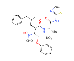 CC(Cc1ccccc1)C[C@@H](C(=O)N[C@H](C(=O)Nc1nccs1)C(C)(C)C)[C@H](COc1ccccc1[N+](=O)[O-])N(O)C=O